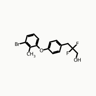 Cc1c(Br)cccc1Oc1ccc(CC(F)(F)CO)cc1